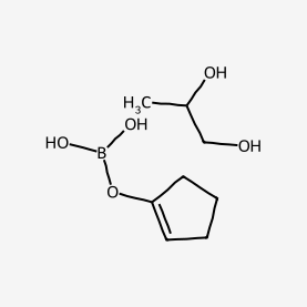 CC(O)CO.OB(O)OC1=CCCC1